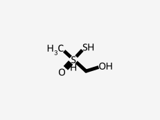 C[SH](=O)(S)CO